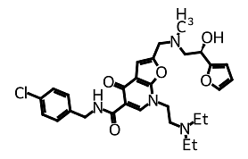 CCN(CC)CCn1cc(C(=O)NCc2ccc(Cl)cc2)c(=O)c2cc(CN(C)C[C@@H](O)c3ccco3)oc21